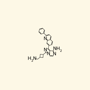 NCC1CC(c2nc(-c3ccc4ccc(-c5ccccc5)nc4c3)c3c(N)nccn23)C1